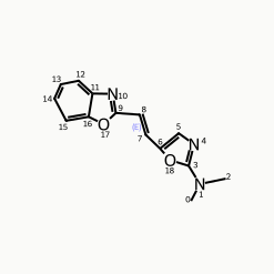 CN(C)c1ncc(/C=C/c2nc3ccccc3o2)o1